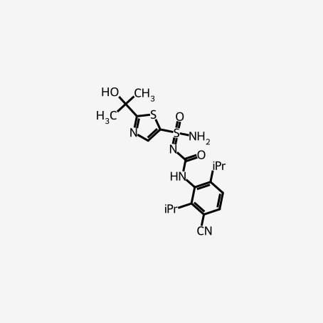 CC(C)c1ccc(C#N)c(C(C)C)c1NC(=O)N=S(N)(=O)c1cnc(C(C)(C)O)s1